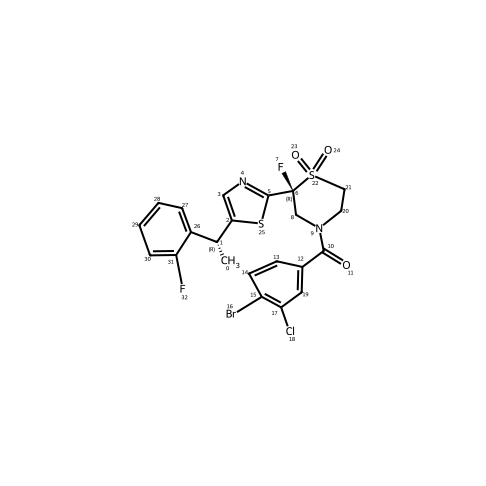 C[C@@H](c1cnc([C@@]2(F)CN(C(=O)c3ccc(Br)c(Cl)c3)CCS2(=O)=O)s1)c1ccccc1F